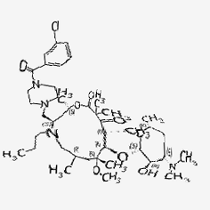 CCCN1C[C@H](C)C[C@@](C)(OC)[C@H](O[C@@H]2O[C@H](C)C[C@H](N(C)C)[C@H]2O)[C@@H](C)C(=O)C(C)(C)C(=O)O[C@@H](C)[C@@H]1CN1CCN(C(=O)c2cccc(Cl)c2)CC1